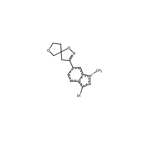 CCc1nn(C)c2cc(C3=NOC4(CCOC4)C3)ccc12